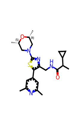 Cc1cc(-c2sc(N3C[C@@H](C)O[C@@H](C)C3)nc2CNC(=O)C(C)C2CC2)cc(C)n1